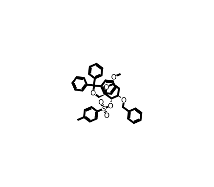 CO[C@@H]1C[C@H](OCc2ccccc2)[C@H](OS(=O)(=O)c2ccc(C)cc2)[C@@H](COC(c2ccccc2)(c2ccccc2)c2ccccc2)O1